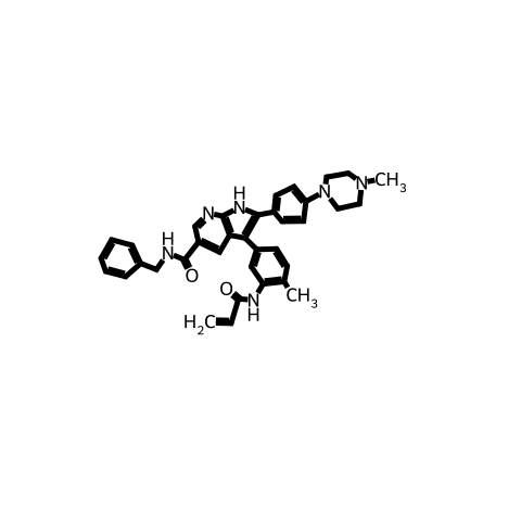 C=CC(=O)Nc1cc(-c2c(-c3ccc(N4CCN(C)CC4)cc3)[nH]c3ncc(C(=O)NCc4ccccc4)cc23)ccc1C